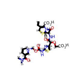 C=CC1=C(C(=O)O)N2C(=O)[C@@H](NC(=O)C(OCC(=O)O)c3csc(NC(=O)OC[n+]4cccc(C(=O)N(C)C)c4)n3)[C@H]2SC1